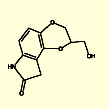 O=C1Cc2c(ccc3c2OC(CO)CO3)N1